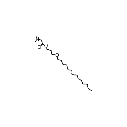 CCCCCCCCCCCCCCOCCCOC(=O)CN(C)C